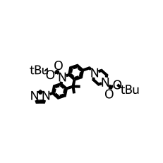 CC(C)(C)OC(=O)N1CCN(Cc2ccc3c(c2)C(C)(C)c2ccc(-n4ccnc4)cc2N3C(=O)OC(C)(C)C)CC1